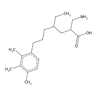 CCC(CCCc1ccc(C)c(C)c1C)CC(CN)C(=O)O